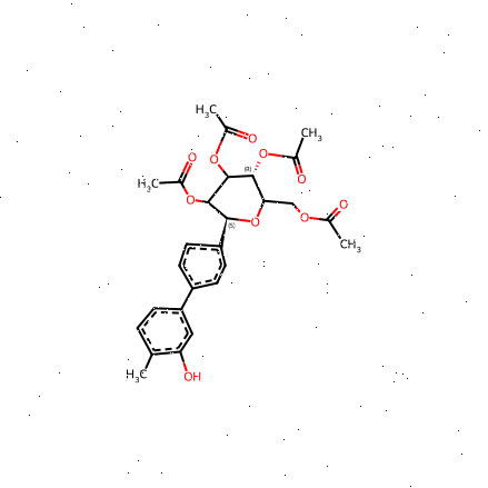 CC(=O)OCC1O[C@@H](c2ccc(-c3ccc(C)c(O)c3)cc2)C(OC(C)=O)C(OC(C)=O)[C@@H]1OC(C)=O